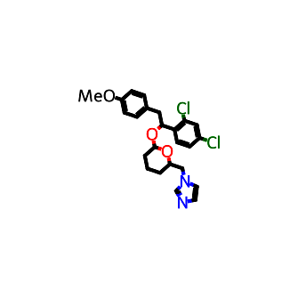 COc1ccc(CC(OC2CCCC(Cn3ccnc3)O2)c2ccc(Cl)cc2Cl)cc1